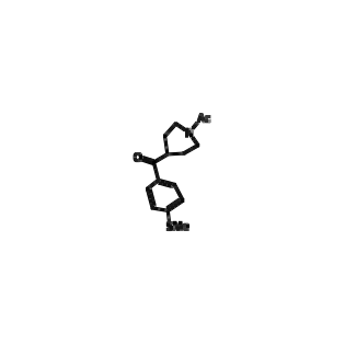 CSc1ccc(C(=O)C2CCN(C(C)=O)CC2)cc1